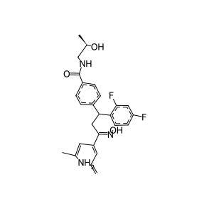 C=C/C=C(\C=C(\C)N)C(/CC(c1ccc(C(=O)NC[C@@H](C)O)cc1)c1ccc(F)cc1F)=N/O